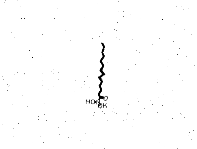 CCCCCCCCCCCCCC(=O)N(O)O